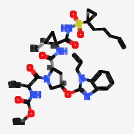 C=CCCCC1(S(=O)(=O)NC(=O)[C@@]2(NC(=O)[C@@H]3C[C@@H](Oc4nc5ccccc5n4CC=C)CN3C(=O)C(NC(=O)OC(C)(C)C)C(C)(C)C)C[C@H]2CC)CC1